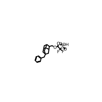 O=C(OCC1C2CC3CC1CC(Cc1ccccc1)(C3)C2)C(F)(F)S(=O)(=O)O